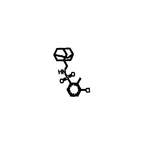 Cc1c(Cl)cccc1S(=O)(=O)NCC12CC3CC(CC(C3)C1)C2